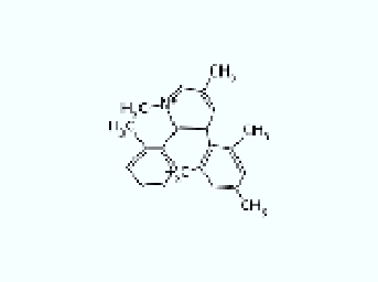 Cc1cc(C)c(-c2cc(C)c[n+](C)c2-c2ccccc2C)c(C)c1